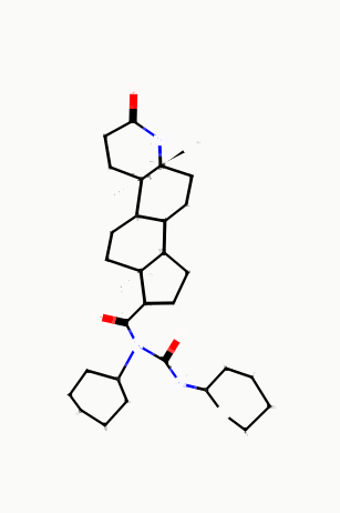 C[C@]12CCC3C(CC[C@H]4NC(=O)CC[C@]34C)C1CCC2C(=O)N(C(=O)NC1CCCCC1)C1CCCCC1